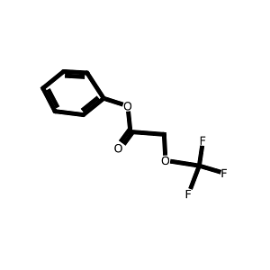 O=C(COC(F)(F)F)Oc1ccccc1